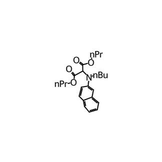 CCCCN(c1ccc2ccccc2c1)C(C(=O)OCCC)C(=O)OCCC